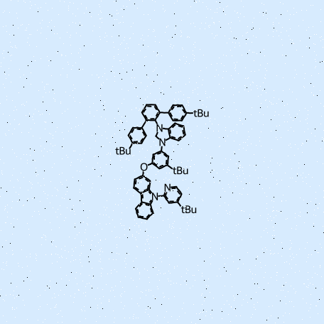 CC(C)(C)c1ccc(-c2cccc(-c3ccc(C(C)(C)C)cc3)c2N2CN(c3cc(Oc4ccc5c6ccccc6n(-c6cc(C(C)(C)C)ccn6)c5c4)cc(C(C)(C)C)c3)c3ccccc32)cc1